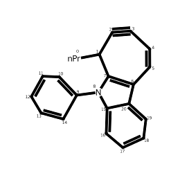 CCCC1C#CC=Cc2c1n(-c1ccccc1)c1ccccc21